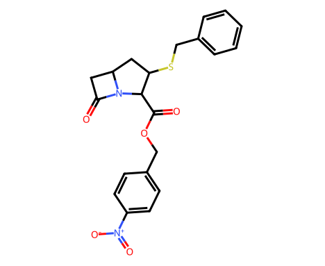 O=C(OCc1ccc([N+](=O)[O-])cc1)C1C(SCc2ccccc2)CC2CC(=O)N21